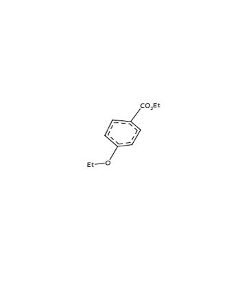 [CH2]COc1ccc(C(=O)OCC)cc1